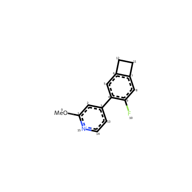 COc1cc(-c2cc3c(cc2F)CC3)ccn1